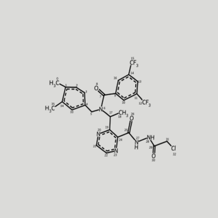 Cc1ccc(CN(C(=O)c2cc(C(F)(F)F)cc(C(F)(F)F)c2)C(C)c2nccnc2C(=O)NNC(=O)CCl)cc1C